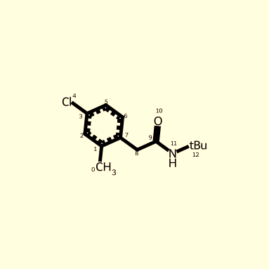 Cc1cc(Cl)ccc1CC(=O)NC(C)(C)C